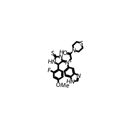 COc1ccc(C2NC(=S)NC2=[N+](CC(=O)N2CCSCC2)c2ccc3[nH]cnc3c2)c(F)c1